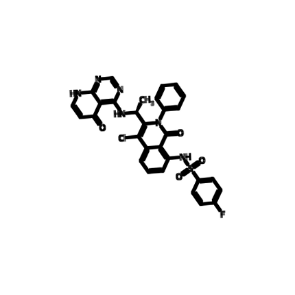 C[C@H](Nc1ncnc2[nH]ccc(=O)c12)c1c(Cl)c2cccc(NS(=O)(=O)c3ccc(F)cc3)c2c(=O)n1-c1ccccc1